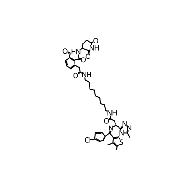 Cc1sc2c(c1C)C(c1ccc(Cl)cc1)=N[C@@H](CC(=O)NCCCCCCCCCNC(=O)Cc1cccc(C=O)c1C(=O)NC1CCC(=O)NC1=O)c1nnc(C)n1-2